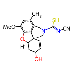 COc1cc(C)c2c3c1O[C@@H]1C[C@@H](O)C=C[C@]31CCN(C(S)=NC#N)C2